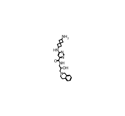 NC1CC2(C1)CC(Nc1cc(C(=O)NC[C@H](O)CN3CCc4ccccc4C3)ncn1)C2